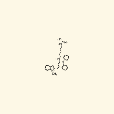 CCCC(=N)NCCCCCNC1=CC(=Cc2sc3ccccc3[n+]2C)c2ccccc2N1c1ccccc1